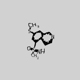 CSc1cc(S(C)(=N)=O)c2ccncc2c1